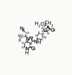 CC1(C)CC2(c3ccc(Nc4nn(C(CC#N)C5CC5)c5cc[nH]c(=O)c45)cc3)CCC1C(=O)O2